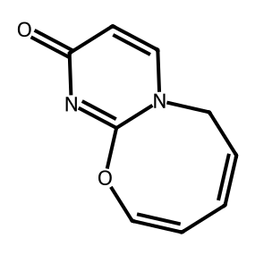 O=c1ccn2c(n1)OC=CC=CC2